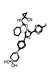 N#CC1(NC(=O)[C@@H]2CCCC[C@H]2c2nc(-c3ncc(F)cn3)sc2-c2ccc(N3CCS(O)(O)CC3)cc2)CC1